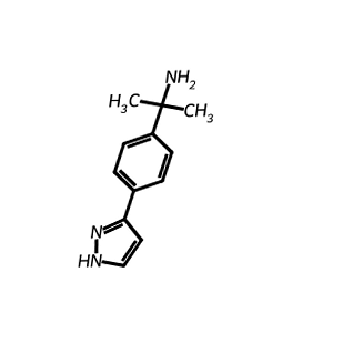 CC(C)(N)c1ccc(-c2cc[nH]n2)cc1